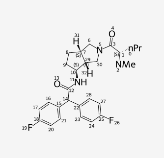 CCC[C@H](NC)C(=O)N1C[C@H]2CC[C@H](NC(=O)C(c3ccc(F)cc3)c3ccc(F)cc3)[C@H]2C1